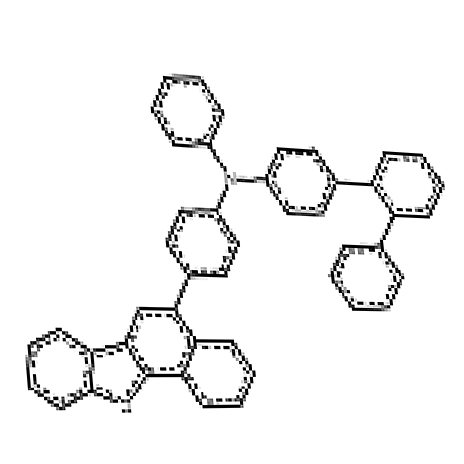 c1ccc(-c2ccccc2-c2ccc(N(c3ccccc3)c3ccc(-c4cc5c6ccccc6oc5c5ccccc45)cc3)cc2)cc1